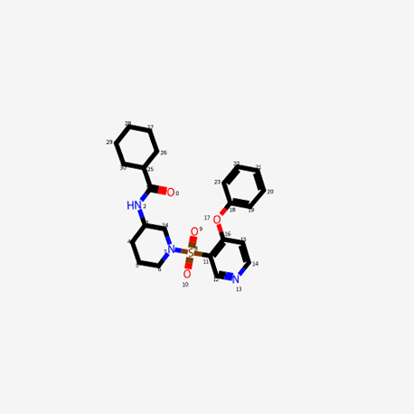 O=C(NC1CCCN(S(=O)(=O)c2cnccc2Oc2ccccc2)C1)C1CCCCC1